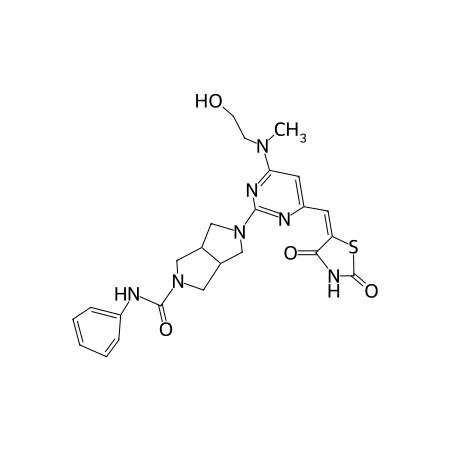 CN(CCO)c1cc(C=C2SC(=O)NC2=O)nc(N2CC3CN(C(=O)Nc4ccccc4)CC3C2)n1